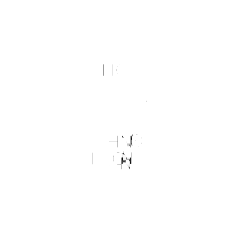 C#CCCCCCC/C=C\CCCCCCCC(=O)NCCC1(C)N=N1